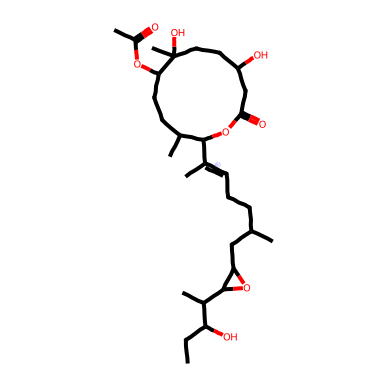 CCC(O)C(C)C1OC1CC(C)CC/C=C(\C)C1OC(=O)CC(O)CCC(C)(O)C(OC(C)=O)CCC1C